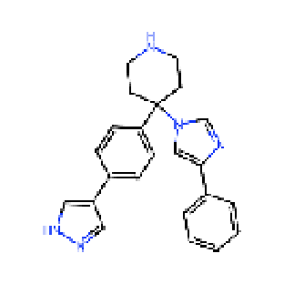 c1ccc(-c2cn(C3(c4ccc(-c5cn[nH]c5)cc4)CCNCC3)cn2)cc1